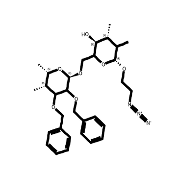 CC1[C@H](OCCN=[N+]=[N-])OC(CO[C@@H]2O[C@@H](C)[C@@H](C)C(OCc3ccccc3)C2OCc2ccccc2)[C@@H](O)[C@@H]1C